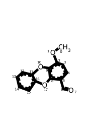 COc1ccc(C=O)c2c1Oc1ccccc1O2